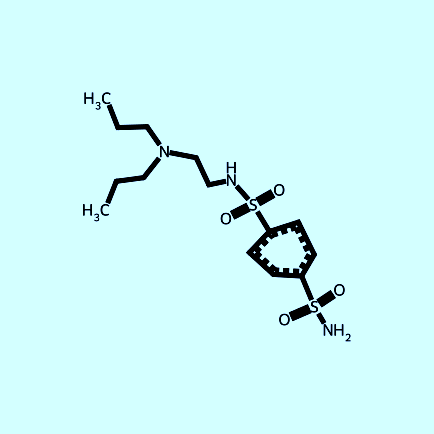 CCCN(CCC)CCNS(=O)(=O)c1ccc(S(N)(=O)=O)cc1